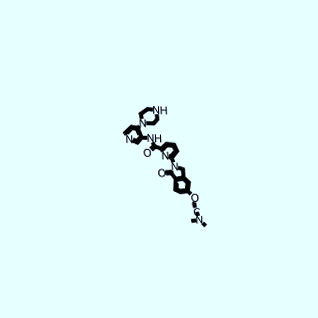 CN(C)CCOc1ccc2c(c1)CN(c1cccc(C(=O)Nc3cnccc3N3CCNCC3)n1)C2=O